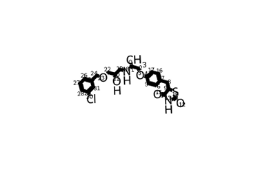 CC(COc1ccc(CC2SC(=O)NC2=O)cc1)NCC(O)COCc1cccc(Cl)c1